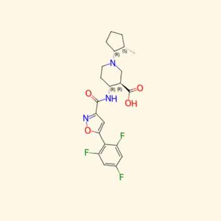 C[C@H]1CCC[C@H]1N1CC[C@@H](NC(=O)c2cc(-c3c(F)cc(F)cc3F)on2)[C@H](C(=O)O)C1